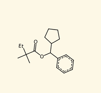 CCC(C)(C)C(=O)OC(c1ccccc1)C1CCCC1